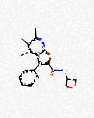 Cc1nc2sc(C(=O)NC3COC3)c(-c3ccccc3)c2c(C)c1Cl